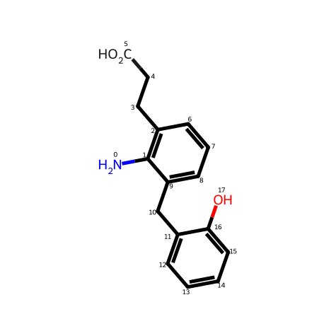 Nc1c(CCC(=O)O)cccc1Cc1ccccc1O